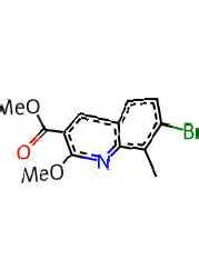 COC(=O)c1cc2ccc(Br)c(C)c2nc1OC